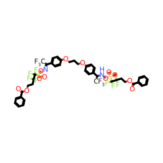 O=C(OCCC(F)(F)C(F)(F)S(=O)(=O)ON=C(c1ccc(OCCCOc2ccc(C(NOS(=O)(=O)C(F)(F)C(F)(F)CCOC(=O)c3ccccc3)C(F)(F)F)cc2)cc1)C(F)(F)F)c1ccccc1